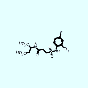 O=C(O)CC(NC(=O)CCS(=O)(=O)Nc1ccc(F)cc1C(F)(F)F)C(=O)O